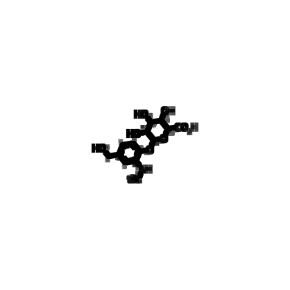 CC(C)(C)Nc1cc(CO)ccc1OC1OC(C(=O)O)C(O)C(O)C1O